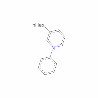 CCCCCCc1ccc[n+](-c2ccccc2)c1